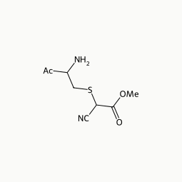 COC(=O)C(C#N)SCC(N)C(C)=O